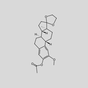 COc1cc2c(cc1OC(C)=O)CC[C@@H]1[C@@H]2CC[C@@]2(C)[C@H]1CCC21OCCO1